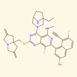 C#Cc1c(F)ccc2cc(O)cc(-c3nc(NC)c4c(N5CC6CCC(CC)(C5)N6)nc(OCC56CC(=C)CN5CC(=C)C6)nc4c3F)c12